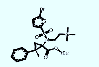 CC(C)(C)OC(=O)[C@@]1(N(CC[Si](C)(C)C)S(=O)(=O)c2ccc(Br)s2)C[C@@]1(C)c1ccccc1